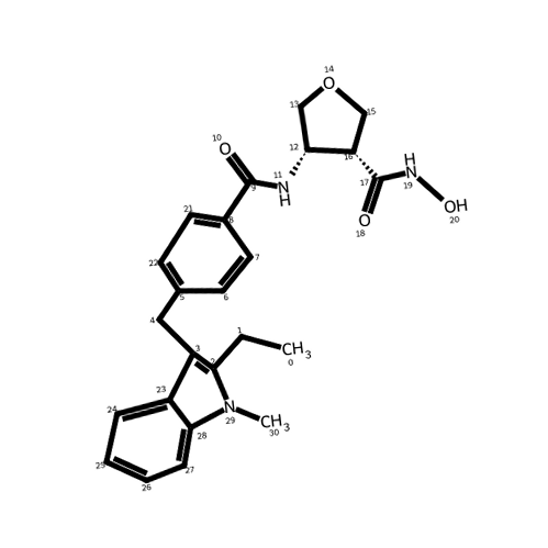 CCc1c(Cc2ccc(C(=O)N[C@@H]3COC[C@@H]3C(=O)NO)cc2)c2ccccc2n1C